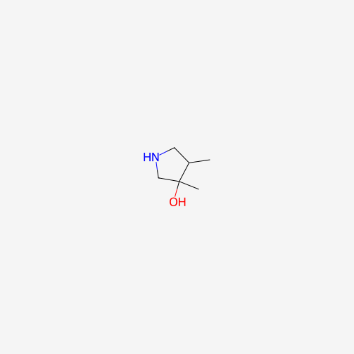 CC1CNCC1(C)O